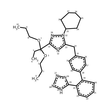 CCCOC(CC)(OCCC)c1nc(Cc2ccc(-c3ccccc3-c3nnn[nH]3)cc2)n(C2CCCCC2)n1